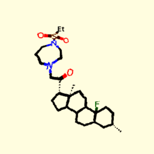 CCS(=O)(=O)N1CCCN(CC(=O)[C@H]2CCC3C4CCC5C[C@@H](C)CCC5(F)C4CC[C@@]32C)CC1